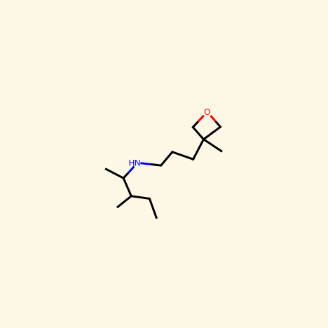 CCC(C)C(C)NCCCC1(C)COC1